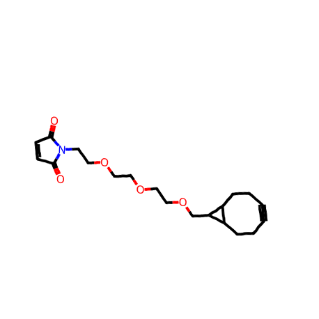 O=C1C=CC(=O)N1CCOCCOCCOCC1C2CCC#CCCC21